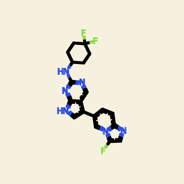 Fc1cnc2ccc(-c3c[nH]c4nc(NC5CCC(F)(F)CC5)ncc34)cn12